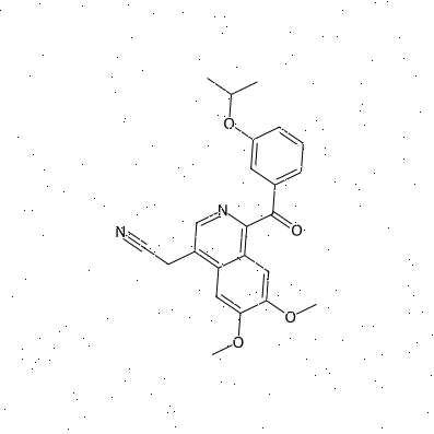 COc1cc2c(CC#N)cnc(C(=O)c3cccc(OC(C)C)c3)c2cc1OC